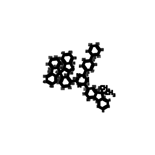 CC1(C)c2ccccc2-c2ccc(-c3nc(-c4ccc(-c5ccccc5)cc4)nc(-c4cccc5c4-c4sc6ccccc6c4C54c5ccccc5-c5ccccc54)n3)cc21